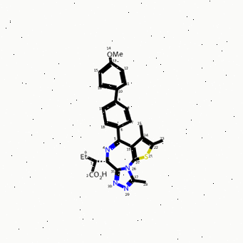 CCC(C(=O)O)[C@@H]1N=C(c2ccc(-c3ccc(OC)cc3)cc2)c2c(sc(C)c2C)-n2c(C)nnc21